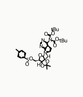 Cc1ccc(S(=O)OC[C@H]2O[C@@H](n3ccc4c(N(C(=O)OC(C)(C)C)C(=O)OC(C)(C)C)ncnc43)[C@@H]3OC(C)(C)O[C@@H]32)cc1